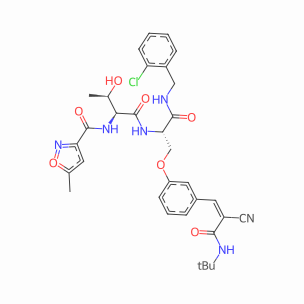 Cc1cc(C(=O)N[C@H](C(=O)N[C@@H](COc2cccc(C=C(C#N)C(=O)NC(C)(C)C)c2)C(=O)NCc2ccccc2Cl)[C@@H](C)O)no1